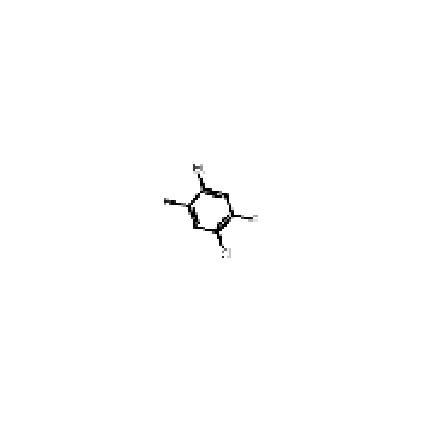 CCc1cc(F)c(Cl)cc1F